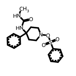 CNC(=O)NC1(c2ccccc2)CCN(OS(=O)(=O)c2ccccc2)CC1